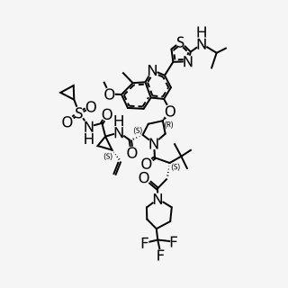 C=C[C@@H]1CC1(NC(=O)[C@@H]1C[C@@H](Oc2cc(-c3csc(NC(C)C)n3)nc3c(C)c(OC)ccc23)CN1C(=O)[C@@H](CC(=O)N1CCC(C(F)(F)F)CC1)C(C)(C)C)C(=O)NS(=O)(=O)C1CC1